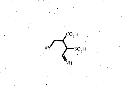 CC(C)CC(C(=O)O)C(C=N)S(=O)(=O)O